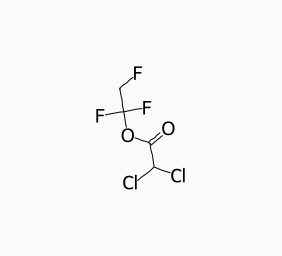 O=C(OC(F)(F)CF)C(Cl)Cl